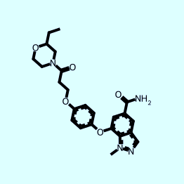 CCC1CN(C(=O)CCOc2ccc(Oc3cc(C(N)=O)cc4cnn(C)c34)cc2)CCO1